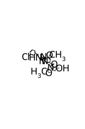 COc1cc(C(=O)N2CC(C)OC[C@]23C[C@H](O)C3)cn2nc(NCc3cccc(Cl)c3)nc12